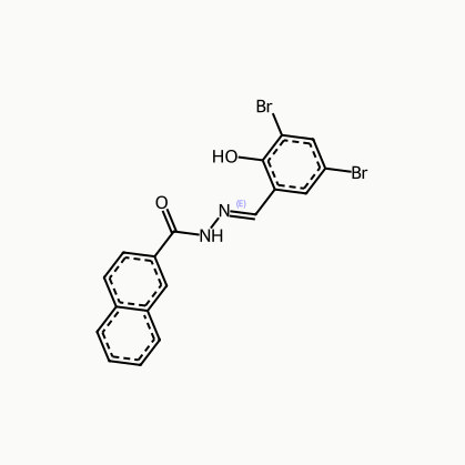 O=C(N/N=C/c1cc(Br)cc(Br)c1O)c1ccc2ccccc2c1